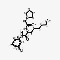 CC(=O)CCCCC[C@H](NC(=O)CN1CCCC1)C(=O)Nc1cccc(Cl)c1